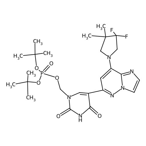 CC(C)(C)OP(=O)(OCn1cc(-c2cc(N3CC(C)(C)C(F)(F)C3)c3nccn3n2)c(=O)[nH]c1=O)OC(C)(C)C